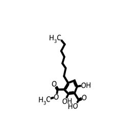 CCCCCCCc1cc(O)c(C(=O)O)c(O)c1C(=O)OC